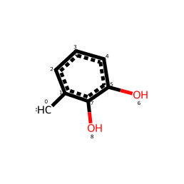 [CH]c1cccc(O)c1O